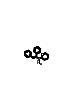 C(=C([SiH2]C1CCCCO1)c1ccccc1)c1ccccc1